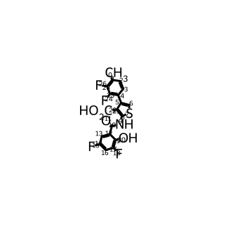 Cc1ccc(-c2csc(NC(=O)c3cc(F)cc(F)c3O)c2C(=O)O)c(F)c1F